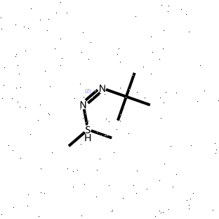 C[SH](C)/N=N\C(C)(C)C